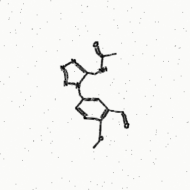 COc1ccc(-n2nnnc2NC(C)=O)cc1C=O